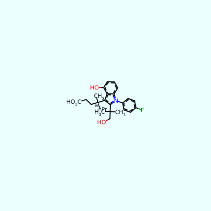 CCC[C@](C)(CCC(=O)O)c1c(C(C)(C)CO)n(-c2ccc(F)cc2)c2cccc(O)c12